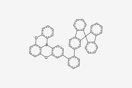 c1ccc2c(c1)Oc1cccc3c1B2c1ccc(-c2ccccc2-c2ccc4c(c2)C2(c5ccccc5-c5ccccc52)c2ccccc2-4)cc1O3